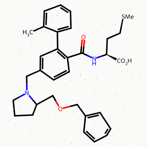 CSCC[C@H](NC(=O)c1ccc(CN2CCCC2COCc2ccccc2)cc1-c1ccccc1C)C(=O)O